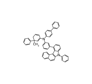 CC1(c2ccccc2)C=C(N(c2ccc(-c3ccccc3)cc2)c2cccc(-c3cccc4c3c3c5ccccc5ccc3n4-c3ccccc3)c2)C=CC1